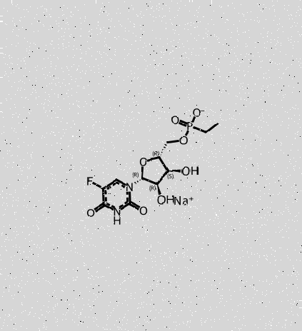 CCP(=O)([O-])OC[C@H]1O[C@@H](n2cc(F)c(=O)[nH]c2=O)[C@H](O)[C@@H]1O.[Na+]